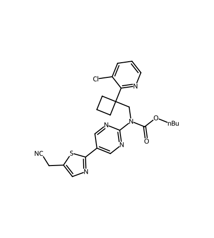 CCCCOC(=O)N(CC1(c2ncccc2Cl)CCC1)c1ncc(-c2ncc(CC#N)s2)cn1